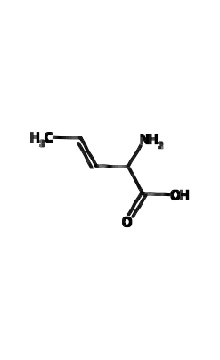 C/C=C/C(N)C(=O)O